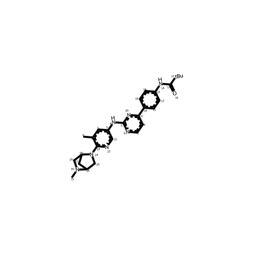 Cc1cc(Nc2nccc(-c3ccc(NC(=O)C(C)(C)C)cc3)n2)cnc1N1CC2CC1CN2C